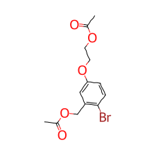 CC(=O)OCCOc1ccc(Br)c(COC(C)=O)c1